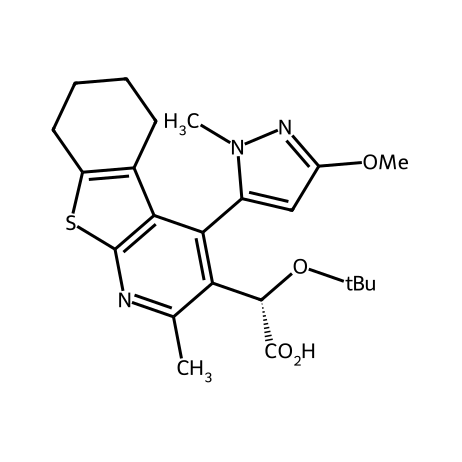 COc1cc(-c2c([C@H](OC(C)(C)C)C(=O)O)c(C)nc3sc4c(c23)CCCC4)n(C)n1